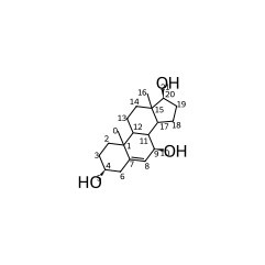 CC12CC[C@H](O)CC1=C[C@H](O)C1C2CCC2(C)C1CC[C@@H]2O